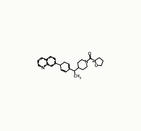 CC(C1=CCC(c2ccc3cccnc3c2)C=C1)C1CCN(C(=O)[C@H]2CCCO2)CC1